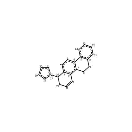 C1=Cc2c(ccc3c2CCc2ccccc2-3)C(n2cccc2)C1